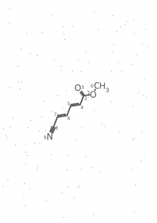 COC(=O)C=CC=CC#N